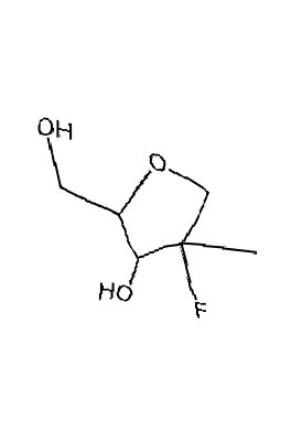 CC1(F)COC(CO)C1O